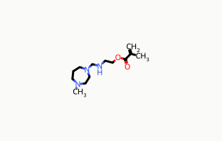 C=C(C)C(=O)OCCNCN1CCCN(C)CC1